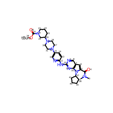 CN(C)C(=O)c1cc2cnc(Nc3ccc(N4CCN(C5CCCN(C(=O)OC(C)(C)C)C5)CC4)cn3)nc2n1C1CCCC1